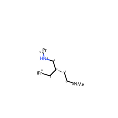 CNCC[C@@H](CNC(C)C)CC(C)C